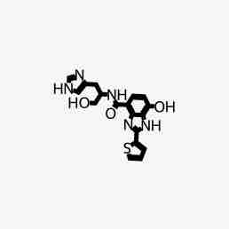 O=C(NC(CO)Cc1c[nH]cn1)c1ccc(O)c2[nH]c(-c3cccs3)nc12